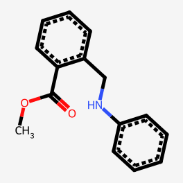 COC(=O)c1ccccc1CNc1ccccc1